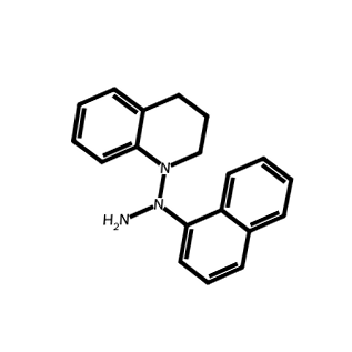 NN(c1cccc2ccccc12)N1CCCc2ccccc21